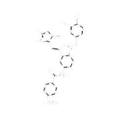 COc1ccc(C(=O)Nc2ccc3c(c2)/C(=C/c2[nH]c(C)cc2C)CN3Cc2ccc(Cl)c(Cl)c2)cc1